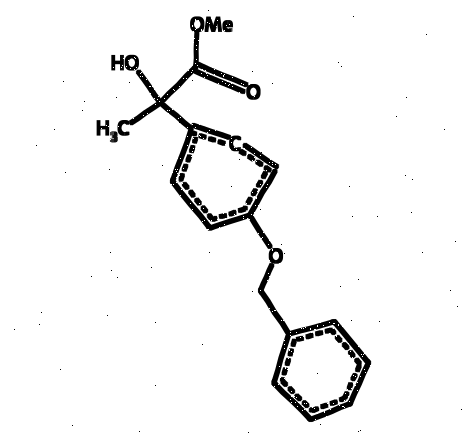 COC(=O)C(C)(O)c1ccc(OCc2ccccc2)cc1